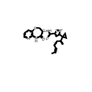 C=C(/C=C\C=C/C)C1(c2cc(C(=O)N[C@H]3COc4cccnc4NC3=O)n[nH]2)CC1